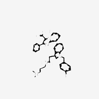 CN(C)CCCNC(=O)Cc1cn(Cc2ccc(F)cc2)c2ccccc12.O=C(O)c1c(-c2ccccc2)nc2ccccn12